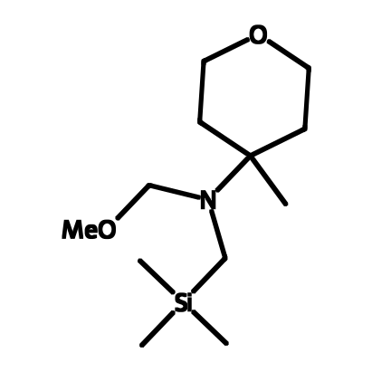 COCN(C[Si](C)(C)C)C1(C)CCOCC1